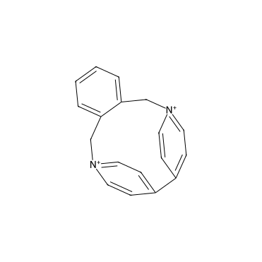 c1ccc2c(c1)C[n+]1ccc(cc1)-c1cc[n+](cc1)C2